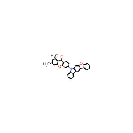 Cc1cc(C)c2c(=O)c3ccc(-n4c5ccccc5c5cc6c(cc54)oc4ccccc46)cc3oc2c1